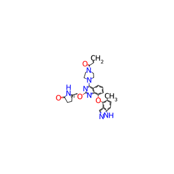 C=CC(=O)N1CCN(c2nc(OC[C@H]3CCC(=O)N3)nc3c(Oc4c(C)ccc5[nH]ncc45)cccc23)CC1